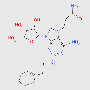 NC(=O)CCN1CN([C@@H]2O[C@H](CO)C(O)C2O)c2nc(NCCC3=CCCCC3)nc(N)c21